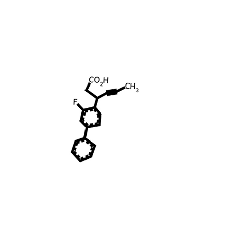 CC#CC(CC(=O)O)c1ccc(-c2ccccc2)cc1F